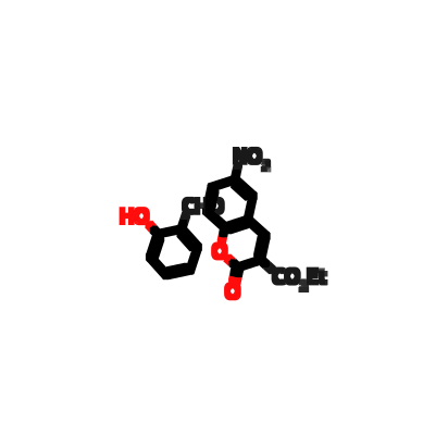 CCOC(=O)c1cc2cc([N+](=O)[O-])ccc2oc1=O.O=Cc1ccccc1O